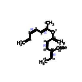 C=C/C=C\C=C(/C)OC(=C)/C=C\C(=C/C)OC